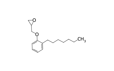 CCCCCCCc1ccccc1OCC1CO1